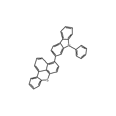 c1ccc(-n2c3ccccc3c3ccc(-c4ccc5c6c(cccc46)-c4ccccc4S5)cc32)cc1